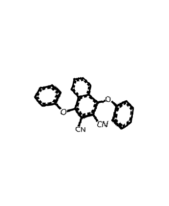 N#Cc1c(C#N)c(Oc2ccccc2)c2ccccc2c1Oc1ccccc1